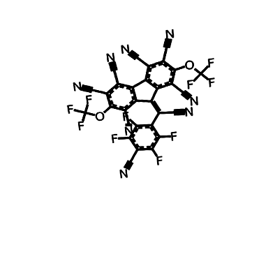 N#CC(=C1c2c(C#N)c(OC(F)(F)F)c(C#N)c(C#N)c2-c2c(C#N)c(C#N)c(OC(F)(F)F)c(C#N)c21)c1c(F)c(F)c(C#N)c(F)c1F